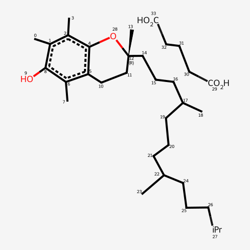 Cc1c(C)c2c(c(C)c1O)CC[C@@](C)(CCCC(C)CCCC(C)CCCC(C)C)O2.O=C(O)CCCC(=O)O